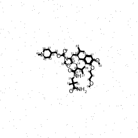 COCCCOc1cc(C[C@@H](C[C@H]2[C@H](C[C@H](C(=O)NCC(C)(C)C(N)=O)C(C)C)OCN2C(=O)OCC2CCN(C)CC2)C(C)C)ccc1OC